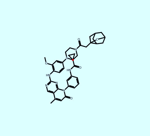 COc1cc(N2CCN(C(=O)CC34CC5CC(CC3C5)C4)CC2)ccc1Nc1ncc2c(C)cc(=O)n(-c3cccc(NC(=O)C4CC4)c3)c2n1